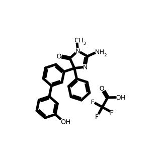 CN1C(=O)C(c2ccccc2)(c2cccc(-c3cccc(O)c3)c2)N=C1N.O=C(O)C(F)(F)F